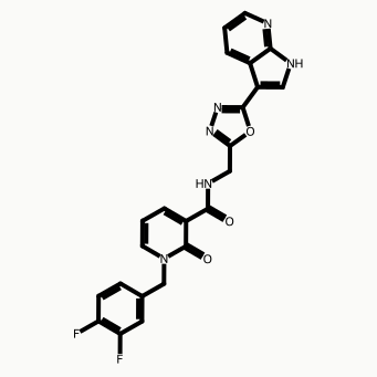 O=C(NCc1nnc(-c2c[nH]c3ncccc23)o1)c1cccn(Cc2ccc(F)c(F)c2)c1=O